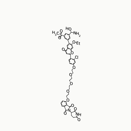 CCOc1cc2oc(-c3ccc(OCCOCCOCCOCCOc4cccc5c4C(=O)N(C4CCC(=O)NC4=O)C5=O)cc3Cl)cc(=O)c2cc1-c1cc(C(N)O)cc(S(C)(=O)=O)c1